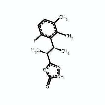 Cc1ccc(F)c([C@@H](C)[C@H](C)c2n[nH]c(=O)o2)c1C